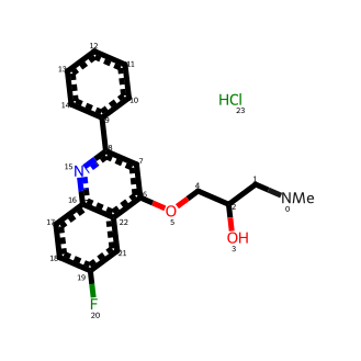 CNCC(O)COc1cc(-c2ccccc2)nc2ccc(F)cc12.Cl